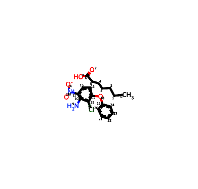 CCCCCCC(=O)O.Nc1c([N+](=O)[O-])ccc(Oc2ccccc2)c1Cl